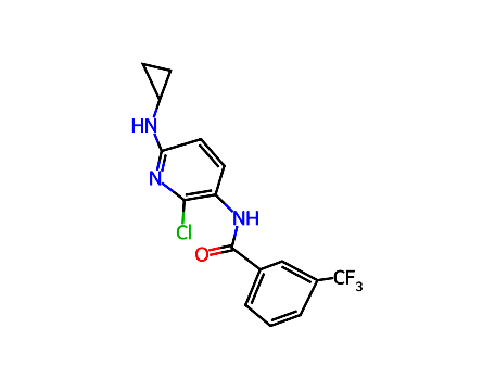 O=C(Nc1ccc(NC2CC2)nc1Cl)c1cccc(C(F)(F)F)c1